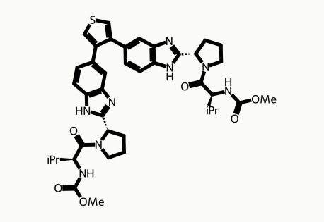 COC(=O)N[C@H](C(=O)N1CCC[C@H]1c1nc2cc(-c3cscc3-c3ccc4[nH]c([C@@H]5CCCN5C(=O)[C@@H](NC(=O)OC)C(C)C)nc4c3)ccc2[nH]1)C(C)C